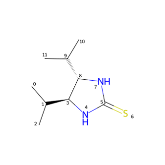 CC(C)[C@@H]1NC(=S)N[C@H]1C(C)C